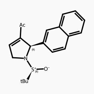 CC(=O)C1=CCN([S@@+]([O-])C(C)(C)C)[C@@H]1c1ccc2ccccc2c1